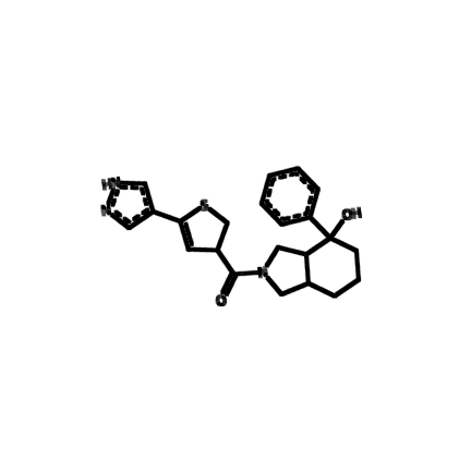 O=C(C1C=C(c2cn[nH]c2)SC1)N1CC2CCCC(O)(c3ccccc3)C2C1